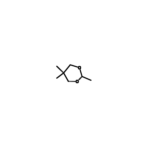 CC1OCC(C)(C)CO1